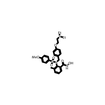 CCN(CC)CCOc1ccc(CN(c2c(C)cccc2C(=O)NO)S(=O)(=O)c2ccc(OC)cc2)cc1